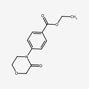 CCOC(=O)c1ccc(N2CCOCC2=O)cc1